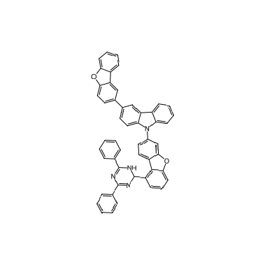 c1ccc(C2=NC(c3cccc4oc5cc(-n6c7ccccc7c7cc(-c8ccc9oc%10ccccc%10c9c8)ccc76)ccc5c34)NC(c3ccccc3)=N2)cc1